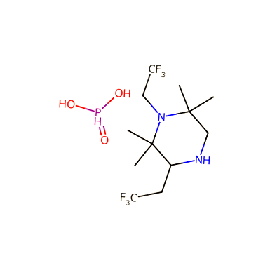 CC1(C)CNC(CC(F)(F)F)C(C)(C)N1CC(F)(F)F.O=[PH](O)O